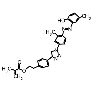 C=C(C)C(=O)OCCc1ccc(C2CN(c3ccc(N=Nc4cc(C)ccc4O)c(C)c3)N=N2)cc1